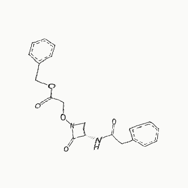 O=C(Cc1ccccc1)N[C@H]1CN(OCC(=O)OCc2ccccc2)C1=O